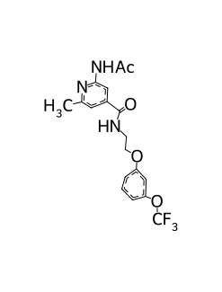 CC(=O)Nc1cc(C(=O)NCCOc2cccc(OC(F)(F)F)c2)cc(C)n1